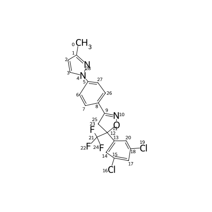 Cc1ccn(-c2ccc(C3=NOC(c4cc(Cl)cc(Cl)c4)(C(F)(F)F)C3)cc2)n1